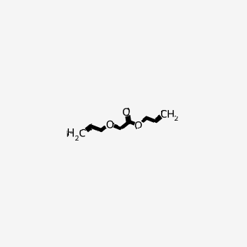 C=CCOCC(=O)OCC=C